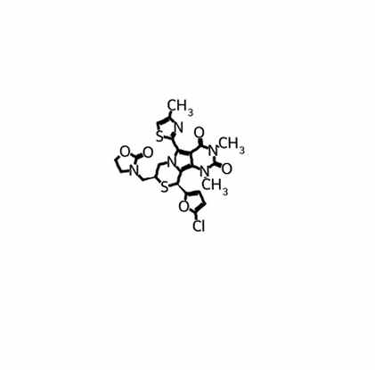 Cc1csc(-c2c3c(=O)n(C)c(=O)n(C)c3c3n2C[C@H](CN2CCOC2=O)S[C@@H]3c2ccc(Cl)o2)n1